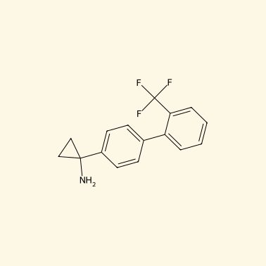 NC1(c2ccc(-c3ccccc3C(F)(F)F)cc2)CC1